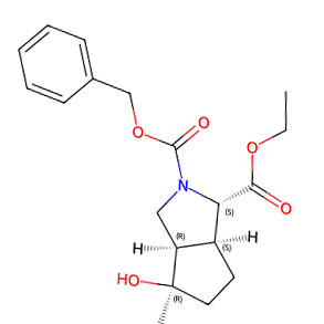 CCOC(=O)[C@@H]1[C@H]2CC[C@@](C)(O)[C@H]2CN1C(=O)OCc1ccccc1